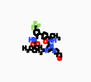 C[C@@H](NC(=O)c1cncc(N2CCC3(CCOC3)C2)n1)c1ccc(-c2cc(C(F)(F)F)ccc2CNC(=O)OC(C)(C)C)cc1